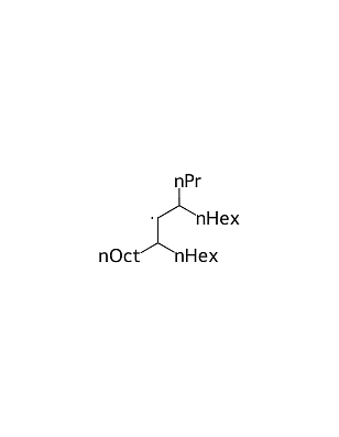 CCCCCCCCC([CH]C(CCC)CCCCCC)CCCCCC